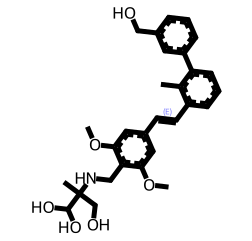 COc1cc(/C=C/c2cccc(-c3cccc(CO)c3)c2C)cc(OC)c1CNC(C)(CO)C(O)O